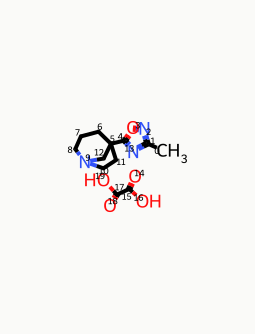 Cc1noc(C23CCCN(CC2)C3)n1.O=C(O)C(=O)O